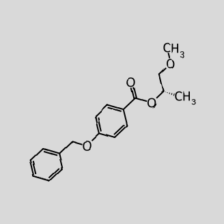 COC[C@H](C)OC(=O)c1ccc(OCc2ccccc2)cc1